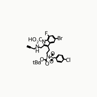 C#CCNCc1c(CCN(C(=O)OC(C)(C)C)S(=O)(=O)c2ccc(Cl)cc2)c2cc(Br)cc(F)c2n1C(=O)O